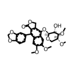 COc1cc2c(O[C@@H]3OC[C@@H](OC)[C@H](OC)[C@H]3O)c3c(c(-c4ccc5c(c4)OCO5)c2cc1OC)C(=O)OC3